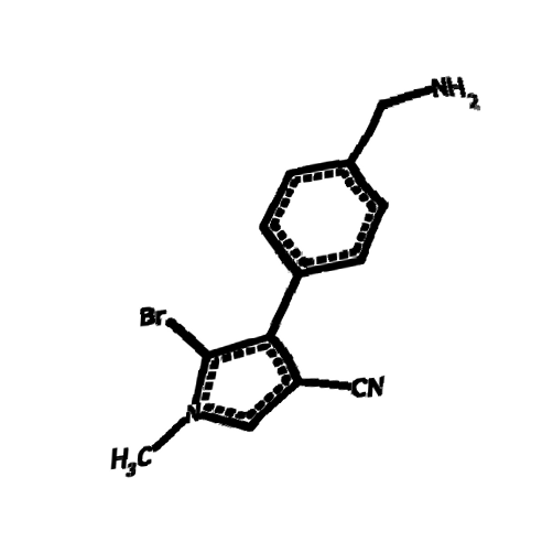 Cn1cc(C#N)c(-c2ccc(CN)cc2)c1Br